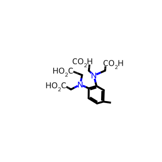 Cc1ccc(N(CC(=O)O)CC(=O)O)c(N(CC(=O)O)CC(=O)O)c1